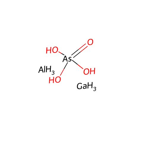 O=[As](O)(O)O.[AlH3].[GaH3]